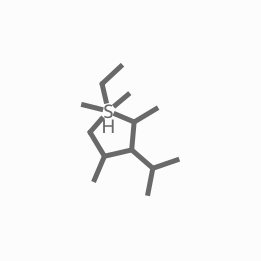 CC[SH]1(C)(C)CC(C)C(C(C)C)C1C